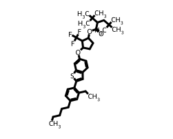 CCCCCc1ccc(-c2cc3ccc(OC4CCC(OC(=O)C(CC(C)(C)C)C(C)(C)C)C4C(F)(F)F)cc3s2)c(CC)c1